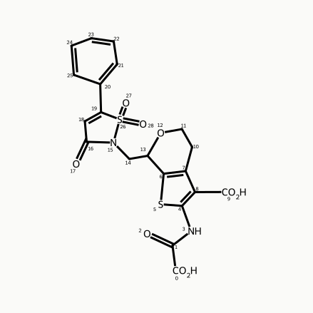 O=C(O)C(=O)Nc1sc2c(c1C(=O)O)CCOC2CN1C(=O)C=C(c2ccccc2)S1(=O)=O